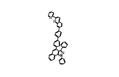 c1ccc(-c2nn(-c3ccccc3)c3c2c(-c2ccc(-c4ccc(-c5ccc6ccc(-c7ccccn7)nc6c5)cc4)cc2)cc2ccccc23)cc1